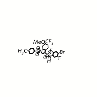 COC1(C(F)(F)F)CCc2c(S(=O)(=O)Nc3cc(F)c(Br)cc3F)cn(S(=O)(=O)c3ccc(C)cc3)c2C1